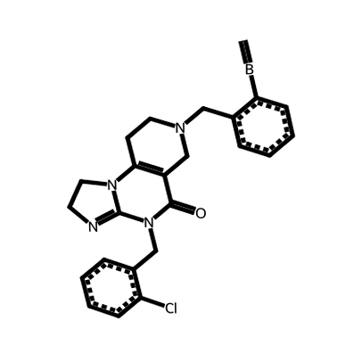 C=Bc1ccccc1CN1CCC2=C(C1)C(=O)N(Cc1ccccc1Cl)C1=NCCN12